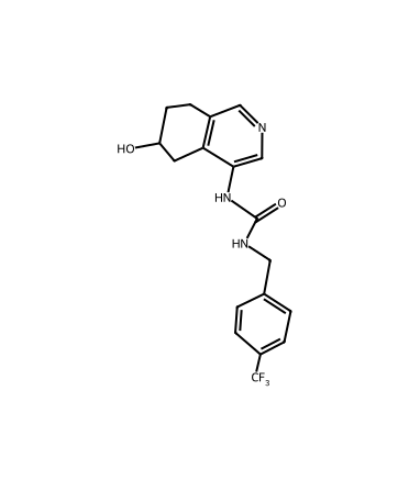 O=C(NCc1ccc(C(F)(F)F)cc1)Nc1cncc2c1CC(O)CC2